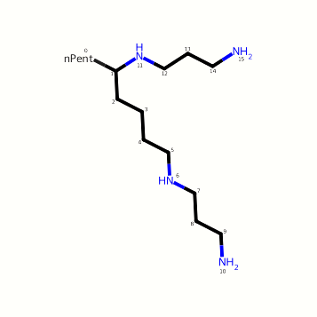 CCCCCC(CCCCNCCCN)NCCCN